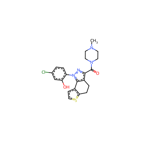 CN1CCN(C(=O)c2nn(-c3ccc(Cl)cc3O)c3c2CCc2sccc2-3)CC1